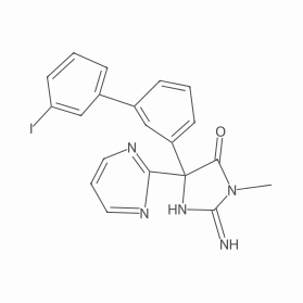 CN1C(=N)NC(c2cccc(-c3cccc(I)c3)c2)(c2ncccn2)C1=O